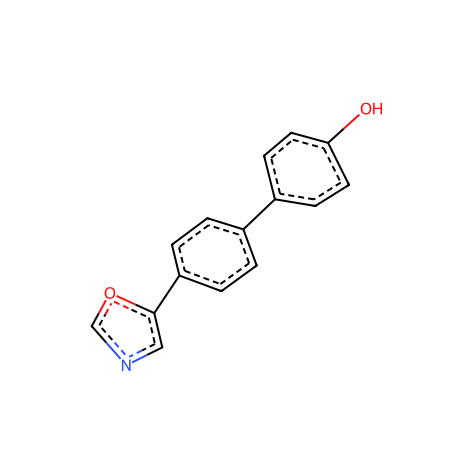 Oc1ccc(-c2ccc(-c3cnco3)cc2)cc1